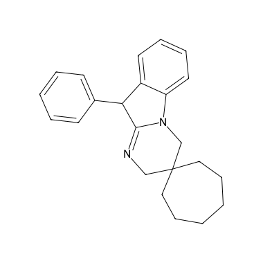 c1ccc(C2C3=NCC4(CCCCCC4)CN3c3ccccc32)cc1